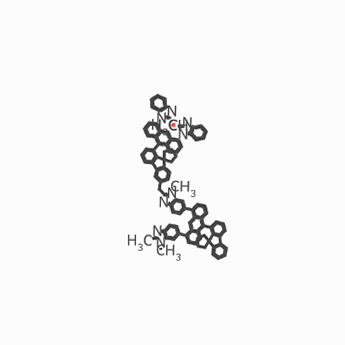 Cc1nc2ccc(-c3cccc4c(-c5cccc6c5C5(CCCC5)c5ccccc5-6)c5cccc(-c6ccc7nc(Cc8ccc9c(c8)-c8cccc(-c%10c%11cccc(-n%12c(C)nc%13ccccc%13%12)c%11cc%11c(-n%12c(C)nc%13ccccc%13%12)cccc%10%11)c8C98CCCC8)n(C)c7c6)c5cc34)cc2n1C